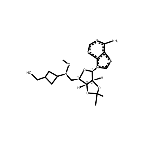 CON(C[C@H]1O[C@@H](n2cnc3c(N)ncnc32)[C@@H]2OC(C)(C)O[C@@H]21)C1CC(CO)C1